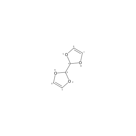 C1=CO[C](C2OC=CO2)O1